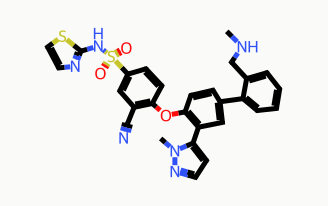 CNCc1ccccc1-c1ccc(Oc2ccc(S(=O)(=O)Nc3nccs3)cc2C#N)c(-c2ccnn2C)c1